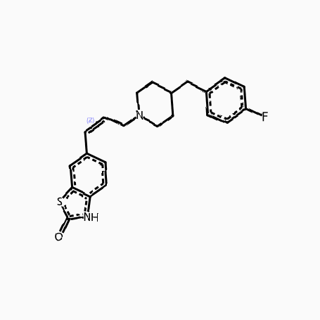 O=c1[nH]c2ccc(/C=C\CN3CCC(Cc4ccc(F)cc4)CC3)cc2s1